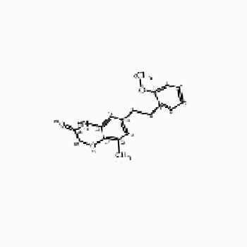 COc1ccccc1CCc1cc(C)c2c(c1)NC(=O)CO2